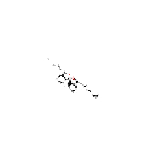 CCCCCCCCCCOCCCCCCCCCC.c1cc[c]([Sn][c]2ccccc2)cc1